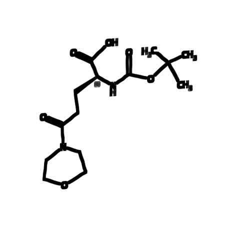 CC(C)(C)OC(=O)N[C@@H](CCC(=O)N1CCOCC1)C(=O)O